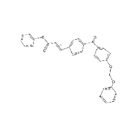 O=C(/C=C/c1ccc(C(=O)c2ccc(OCOc3ccccc3)cc2)cc1)Oc1ccccc1